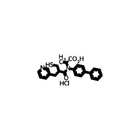 C[C@@H](C(=O)O)N(C(=O)C(CS)Cc1cccnc1)c1ccc(-c2ccccc2)cc1.Cl